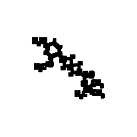 COc1cc(N)ccc1N1CC2(CN(C(=O)OC(C)(C)C)C2)C1